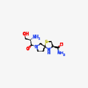 NC(=O)[C@@H]1CSC2(CCN(C(=O)[C@@H](N)CO)C2)N1